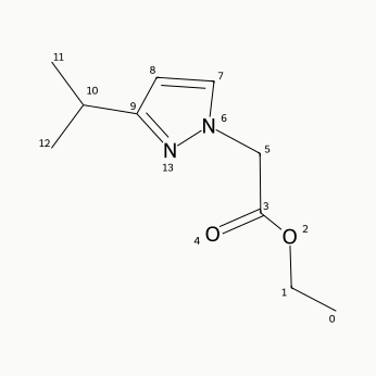 CCOC(=O)Cn1ccc(C(C)C)n1